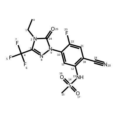 CCn1c(C(F)(F)F)nn(-c2cc(NS(C)(=O)=O)c(C#N)cc2F)c1=O